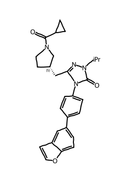 CC(C)n1nc(C[C@@H]2CCN(C(=O)C3CC3)C2)n(-c2ccc(-c3ccc4occc4c3)cc2)c1=O